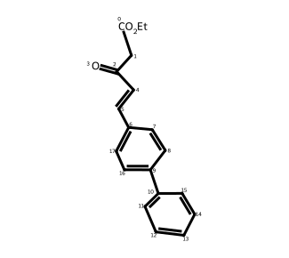 CCOC(=O)CC(=O)C=Cc1ccc(-c2ccccc2)cc1